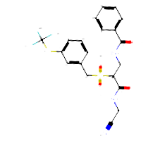 N#CCNC(=O)C(CNC(=O)c1ccccc1)S(=O)(=O)Cc1cccc(SC(F)(F)F)c1